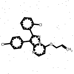 C=CCOc1ccnc2c(-c3ccc(Cl)cc3)c(-c3ccccc3Cl)nn12